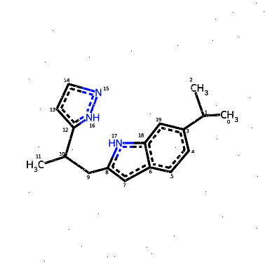 CC(C)c1ccc2cc(CC(C)c3ccn[nH]3)[nH]c2c1